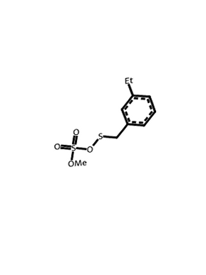 CCc1cccc(CSOS(=O)(=O)OC)c1